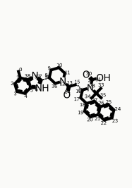 Cc1cccc2[nH]c([C@@H]3CCCN(C(=O)C[C@@H](Cc4ccc5ccccc5c4)N(C(=O)O)C(C)(C)C)C3)nc12